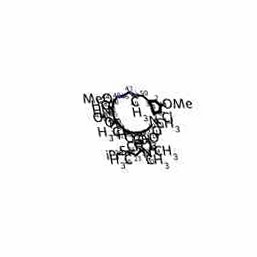 COc1cc2cc(c1Cl)N(C)C(=O)C[C@H](OC(=O)[C@H](C)N(C)C(=O)CC(C)(C)SC(C)C)[C@]1(C)O[C@H]1[C@H](C)[C@@H]1C[C@@](O)(NC(=O)O1)[C@H](OC)/C=C/C=C(\C)C2